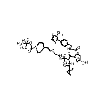 Cc1ncsc1-c1ccc(CNC(=O)[C@@H]2C[C@@H](O)CN2C(=O)C(NC(=O)C2(F)CC2)C(C)(C)SCCOCCC2CCN(C(=O)OC(C)(C)C)CC2)cc1